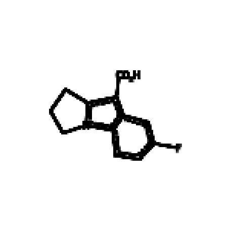 O=C(O)c1c2n(c3ccc(F)cc13)CCC2